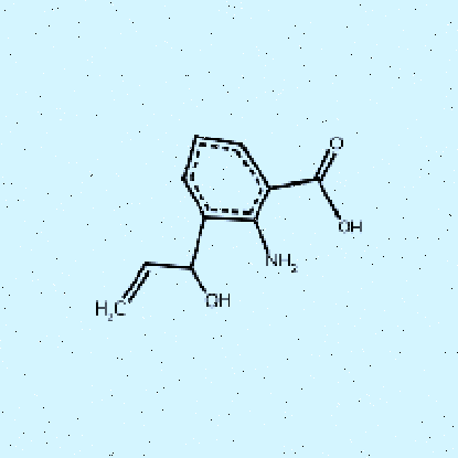 C=CC(O)c1cccc(C(=O)O)c1N